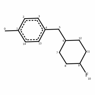 Cc1ccc(CC2CCC(F)CC2)cc1